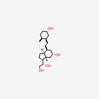 C=C1CC[C@H](O)C/C1=C/C=C1\C[C@H](O)C[C@]2(C)[C@@H]([C@H](O)CO)CC[C@@H]12